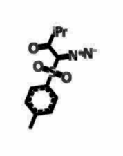 Cc1ccc(S(=O)(=O)C(=[N+]=[N-])C(=O)C(C)C)cc1